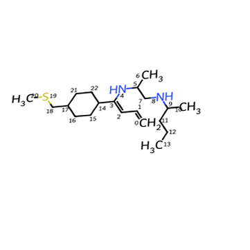 C=C/C=C(\NC(C)CNC(C)CCC)C1CCC(CSC)CC1